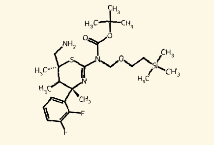 CC1[C@@](C)(CN)SC(N(COCC[Si](C)(C)C)C(=O)OC(C)(C)C)=N[C@]1(C)c1cccc(F)c1F